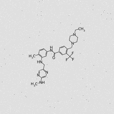 CCN1CCN(Cc2ccc(C(=O)Nc3ccc(C)c(NCc4cnc(NC)cn4)c3)cc2C(F)(F)F)CC1